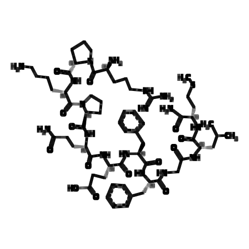 CSCC[C@H](NC(=O)[C@H](CC(C)C)NC(=O)CNC(=O)[C@H](Cc1ccccc1)NC(=O)[C@H](Cc1ccccc1)NC(=O)[C@H](CCC(=O)O)NC(=O)[C@H](CCC(N)=O)NC(=O)[C@@H]1CCCN1C(=O)[C@H](CCCCN)NC(=O)[C@@H]1CCCN1C(=O)[C@@H](N)CCCNC(=N)N)C(N)=O